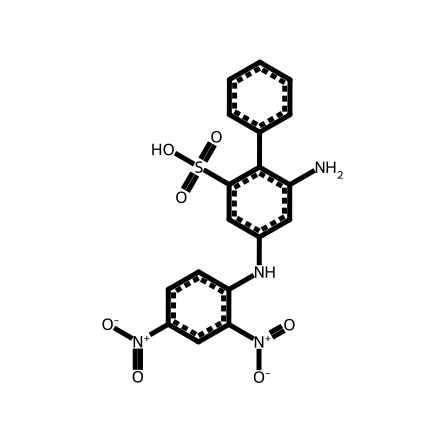 Nc1cc(Nc2ccc([N+](=O)[O-])cc2[N+](=O)[O-])cc(S(=O)(=O)O)c1-c1ccccc1